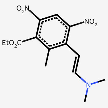 CCOC(=O)c1c([N+](=O)[O-])cc([N+](=O)[O-])c(/C=C/N(C)C)c1C